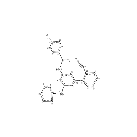 CC(Nc1nc(Nc2cnccn2)cc(-c2cnccc2C#N)n1)c1ccc(F)cc1